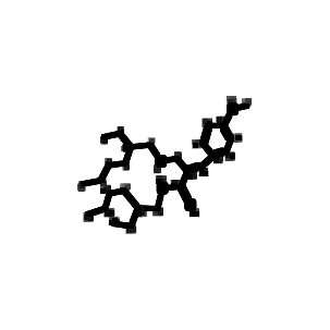 CCCCC(CC)COC/C(=C\c1ccc(OC)cc1)C(=O)OCC(CC)CCCC